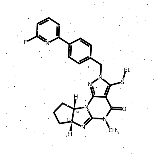 CCSc1c2c(nn1Cc1ccc(-c3cccc(F)n3)cc1)N1C(=N[C@@H]3CCC[C@@H]31)N(C)C2=O